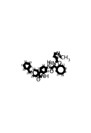 Cn1nccc1C(=O)NC(C(=O)Nc1ccc2c(c1)NC(=O)C21CCN(Cc2ccccc2)CC1)C1CCCCCCC1